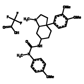 COc1ccc(N(C)C(=O)NC2CCC3(c4ccc(OC)c(OC)c4)CCN(C)C3C2)cc1.O=C(O)C(F)(F)F